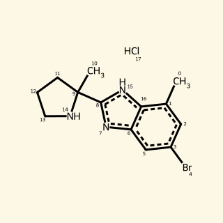 Cc1cc(Br)cc2nc(C3(C)CCCN3)[nH]c12.Cl